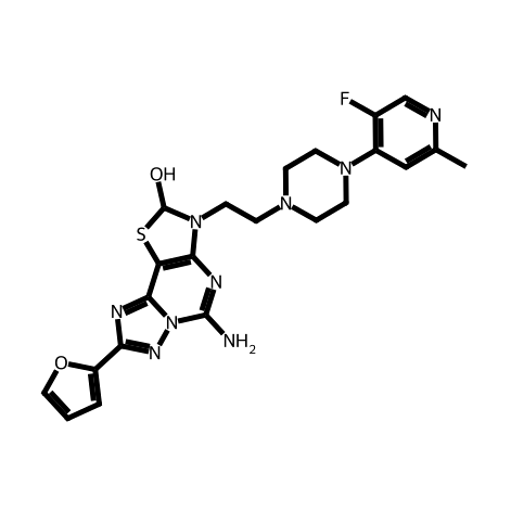 Cc1cc(N2CCN(CCN3c4nc(N)n5nc(-c6ccco6)nc5c4SC3O)CC2)c(F)cn1